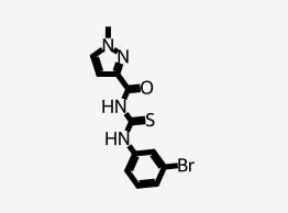 Cn1ccc(C(=O)NC(=S)Nc2cccc(Br)c2)n1